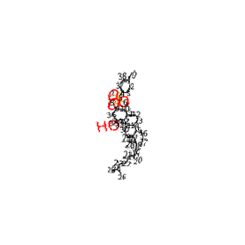 Cc1ccc(S(=O)(=O)OC2CC3=CCC4C5CC[C@H]([C@H](C)CCCC(C)C)[C@@]5(C)CCC4[C@@]3(C)[C@@H](O)C2)cc1